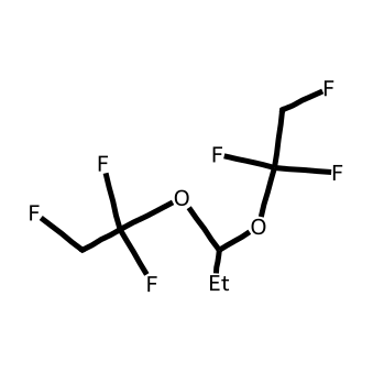 CCC(OC(F)(F)CF)OC(F)(F)CF